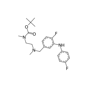 CN(CCN(C)C(=O)OC(C)(C)C)Cc1ccc(F)c(Nc2ccc(F)cc2)c1